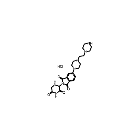 Cl.O=C1CNC(N2C(=O)c3ccc(N4CCN(CCN5CCNCC5)CC4)cc3C2=O)C(=O)N1